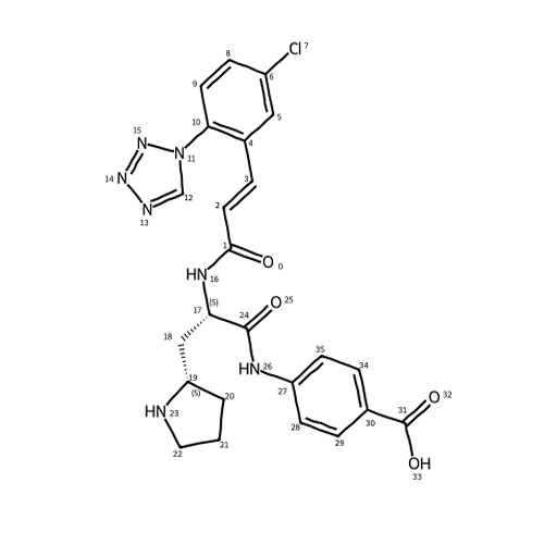 O=C(C=Cc1cc(Cl)ccc1-n1cnnn1)N[C@@H](C[C@@H]1CCCN1)C(=O)Nc1ccc(C(=O)O)cc1